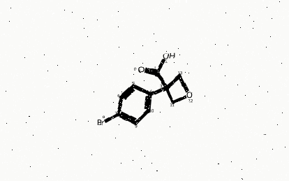 O=C(O)C1(c2ccc(Br)cc2)COC1